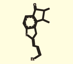 CC/C=C\C=C1/Cc2c(ccc3c2C(C)C(C)C3=O)S1